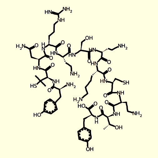 C[C@@H](O)[C@H](NC(=O)[C@H](CCN)NC(=O)[C@H](CS)NC(=O)[C@H](CCCCN)NC(=O)[C@@H](CCN)NC(=O)[C@H](CO)NC(=O)[C@H](CCN)NC(=O)[C@H](CCCNC(=N)N)NC(=O)[C@H](CC(N)=O)NC(=O)[C@@H](NC(=O)[C@@H](N)Cc1ccc(O)cc1)C(C)(C)S)C(=O)N[C@@H](Cc1ccc(O)cc1)C(=O)O